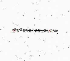 C=CC(=O)OCCOCCOCCOCCOCCOCCOCCOCCOCCOCCOCCOCCOC